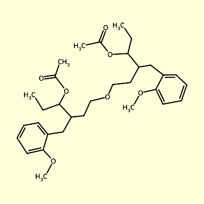 CCC(OC(C)=O)C(CCOCCC(Cc1ccccc1OC)C(CC)OC(C)=O)Cc1ccccc1OC